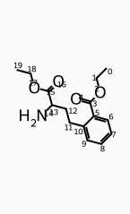 CCOC(=O)c1ccccc1CCC(N)C(=O)OCC